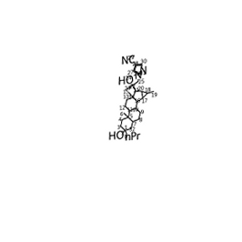 CCCC1(O)CCC2(C)C(CCC3C2CCC2(C)C3C3C(C)C3C2C(C)(O)Cn2cc(C#N)cn2)C1